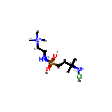 CC(C)(CCS(=O)(=O)NCC[N+](C)(C)C)NCl